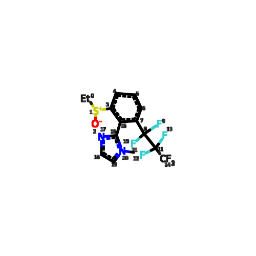 CC[S+]([O-])c1cccc(C(F)(F)C(F)(F)C(F)(F)F)c1-c1nccn1C